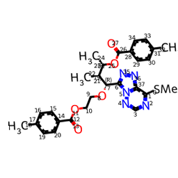 CSc1ncnn2c([C@H](OCCOC(=O)c3ccc(C)cc3)[C@@H](C)[C@@H](C)OC(=O)c3ccc(C)cc3)nnc12